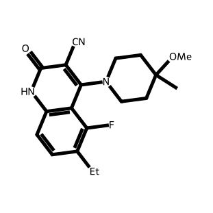 CCc1ccc2[nH]c(=O)c(C#N)c(N3CCC(C)(OC)CC3)c2c1F